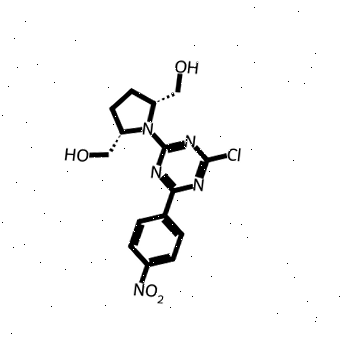 O=[N+]([O-])c1ccc(-c2nc(Cl)nc(N3[C@H](CO)CC[C@@H]3CO)n2)cc1